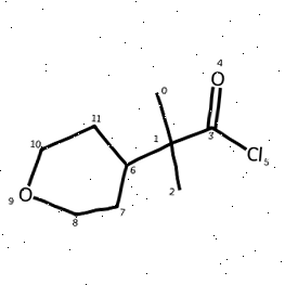 CC(C)(C(=O)Cl)C1CCOCC1